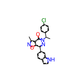 Cc1noc2c(-c3ccc4cc[nH]c4c3)nn(C(C)c3ccc(Cl)cc3)c(=O)c12